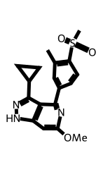 COc1cc2[nH]nc(C3CC3)c2c(-c2ccc(S(C)(=O)=O)c(C)c2)n1